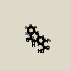 O=C(O)c1cc2c(cc1F)Sc1ccccc1C(=O)N2